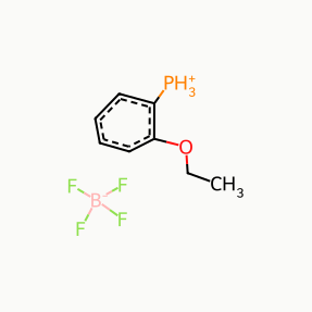 CCOc1ccccc1[PH3+].F[B-](F)(F)F